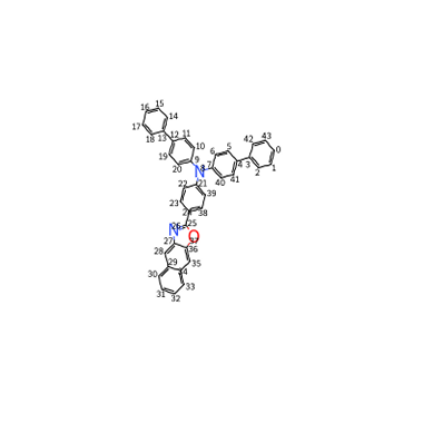 c1ccc(-c2ccc(N(c3ccc(-c4ccccc4)cc3)c3ccc(-c4nc5cc6ccccc6cc5o4)cc3)cc2)cc1